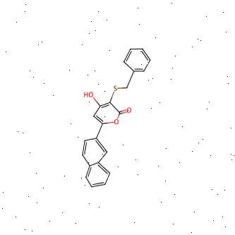 O=c1oc(-c2ccc3ccccc3c2)cc(O)c1SCc1ccccc1